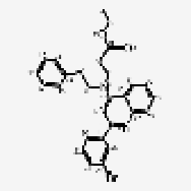 CCOC(=O)CCN(CCc1ccccc1)c1nc(-c2cccc(Br)c2)nc2ccccc12